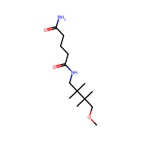 COCC(C)(C)C(C)(C)CNC(=O)CCCC(N)=O